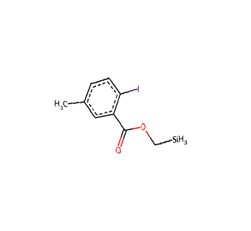 Cc1ccc(I)c(C(=O)OC[SiH3])c1